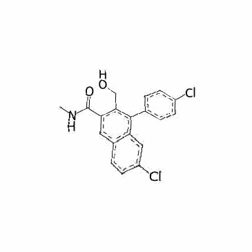 CNC(=O)c1cc2ccc(Cl)cc2c(-c2ccc(Cl)cc2)c1CO